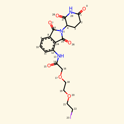 O=C1CCC(N2C(=O)c3cccc(NC(=O)COCCOCCI)c3C2=O)C(=O)N1